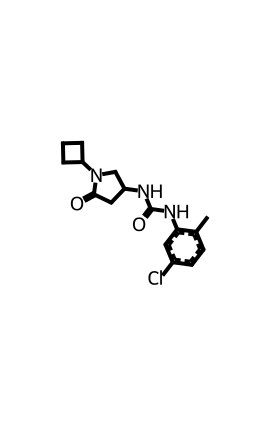 Cc1ccc(Cl)cc1NC(=O)NC1CC(=O)N(C2CCC2)C1